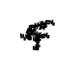 Cc1cccc(CCCC2COc3ccc(C(N)=O)cc3N(CC[C@H](C/C=C/CCCS)CC(C)C)C2)c1